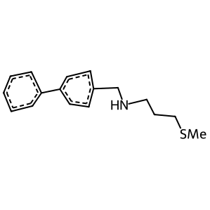 CSCCCNCc1ccc(-c2ccccc2)cc1